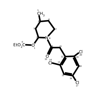 CCOC(=O)OC1CC(C)CCN1C(=O)Cc1c(Cl)cc(Cl)cc1Cl